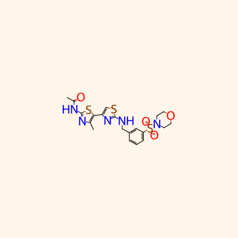 CC(=O)Nc1nc(C)c(-c2csc(NCc3cccc(S(=O)(=O)N4CCOCC4)c3)n2)s1